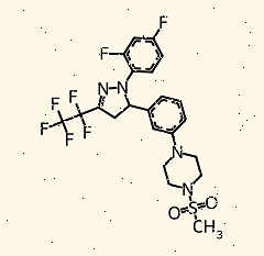 CS(=O)(=O)N1CCN(c2cccc(C3CC(C(F)(F)C(F)(F)F)=NN3c3ccc(F)cc3F)c2)CC1